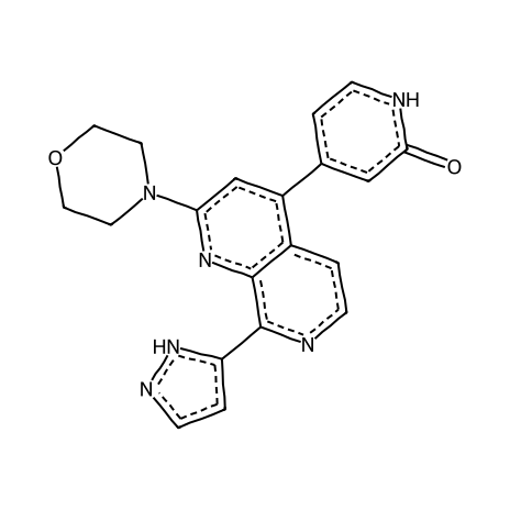 O=c1cc(-c2cc(N3CCOCC3)nc3c(-c4ccn[nH]4)nccc23)cc[nH]1